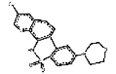 O=S1(=O)Nc2c(ccc3cc(Cl)cnc23)-c2cc(N3CCOCC3)ccc21